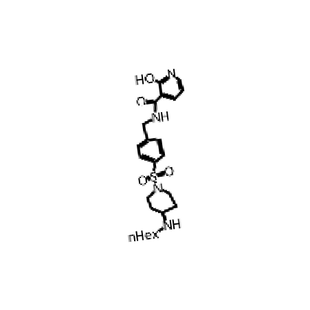 CCCCCCNC1CCN(S(=O)(=O)c2ccc(CNC(=O)c3cccnc3O)cc2)CC1